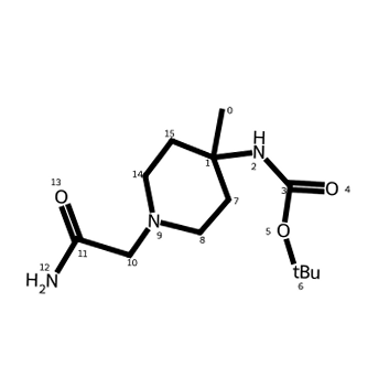 CC1(NC(=O)OC(C)(C)C)CCN(CC(N)=O)CC1